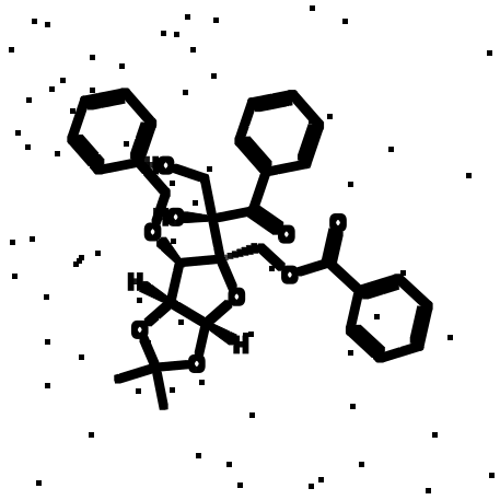 CC1(C)O[C@H]2O[C@](COC(=O)c3ccccc3)([C@](O)(CO)C(=O)c3ccccc3)[C@H](OCc3ccccc3)[C@H]2O1